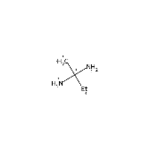 [CH2]C(N)(N)CC